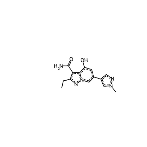 CCc1nn2cc(-c3cnn(C)c3)cc(O)c2c1C(N)=O